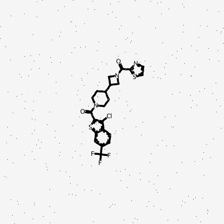 O=C(c1nccs1)N1CC(C2CCN(C(=O)c3sc4cc(C(F)(F)F)ccc4c3Cl)CC2)C1